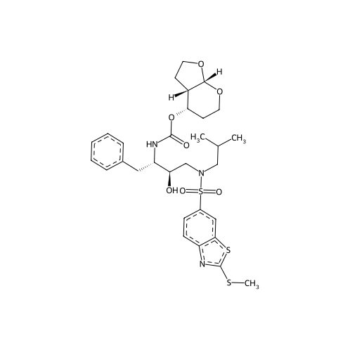 CSc1nc2ccc(S(=O)(=O)N(CC(C)C)C[C@@H](O)[C@H](Cc3ccccc3)NC(=O)O[C@H]3CCO[C@H]4OCC[C@H]43)cc2s1